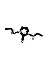 CCNn1ccn(NCC)c1=O